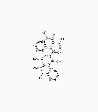 O=C(O)c1c(Cl)c(Cl)c2ccccc2c1C(=O)OC(=O)c1c(C(=O)O)c(Cl)c(Cl)c2ccccc12